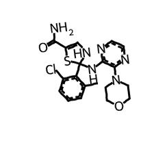 Cc1cccc(Cl)c1C1(Nc2nccnc2N2CCOCC2)NC=C(C(N)=O)S1